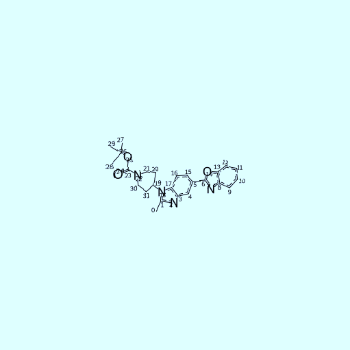 Cc1nc2cc(-c3nc4ccccc4o3)ccc2n1C1CCN(C(=O)OC(C)(C)C)CC1